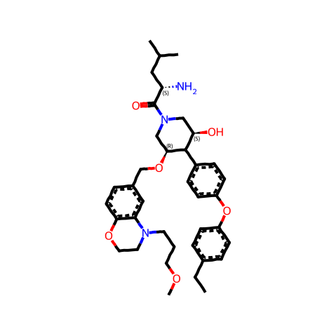 CCc1ccc(Oc2ccc(C3[C@H](O)CN(C(=O)[C@@H](N)CC(C)C)C[C@@H]3OCc3ccc4c(c3)N(CCCOC)CCO4)cc2)cc1